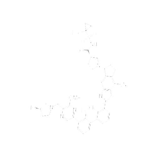 COc1nc(-c2cccc(-c3cccc(-c4nc5cc6c(c(C#N)c5o4)CC[C@H]6N4CC[C@@H](C(=O)NS(=O)(=O)C5(C)CC5)C4)c3Cl)c2C)cnc1CN1CC[C@@H](O)C1